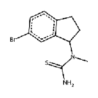 CN(C(N)=S)C1CCc2ccc(Br)cc21